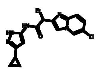 CCC(C(=O)Nc1cc(C2CC2)n[nH]1)c1cn2cc(Cl)ccc2n1